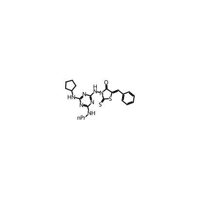 CCCNc1nc(NC2CCCC2)nc(NN2C(=O)/C(=C/c3ccccc3)SC2=S)n1